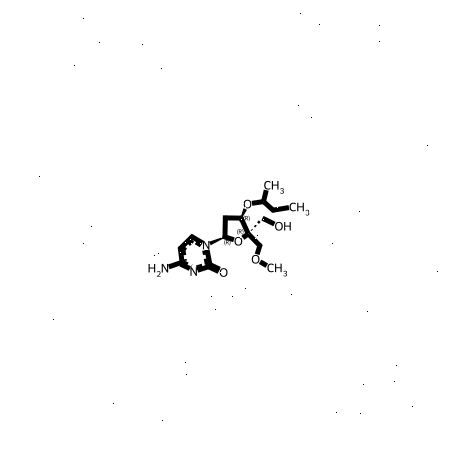 CCC(C)O[C@@H]1C[C@H](n2ccc(N)nc2=O)O[C@]1(CO)COC